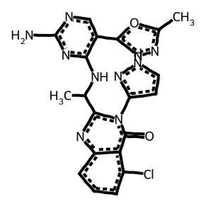 Cc1nnc(-c2cnc(N)nc2NC(C)c2nc3cccc(Cl)c3c(=O)n2-c2cc[nH]n2)o1